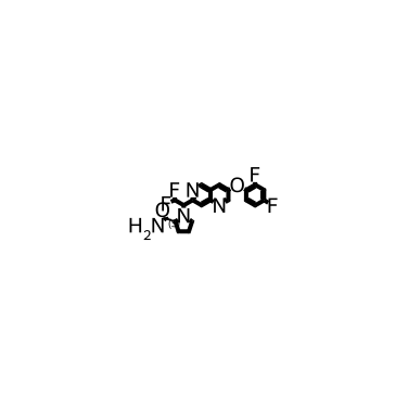 NC(=O)[C@@H]1CCCN1C(c1cc2ncc(Oc3ccc(F)cc3F)cc2cn1)C(F)F